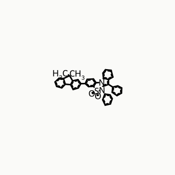 CC1(C)c2ccccc2-c2ccc(-c3ccc4c(c3)S(=O)(=O)N(c3ccccc3)c3c(-c5ccccc5)c5ccccc5n3-4)cc21